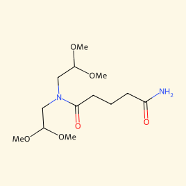 COC(CN(CC(OC)OC)C(=O)CCCC(N)=O)OC